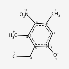 Cc1c[n+]([O-])c(CCl)c(C)c1[N+](=O)[O-]